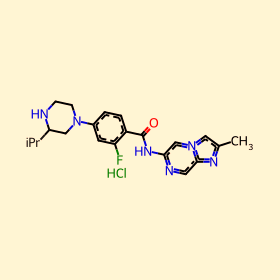 Cc1cn2cc(NC(=O)c3ccc(N4CCNC(C(C)C)C4)cc3F)ncc2n1.Cl